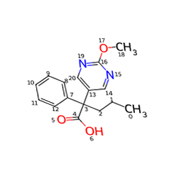 CCCC(C(=O)O)(c1ccccc1)c1cnc(OC)nc1